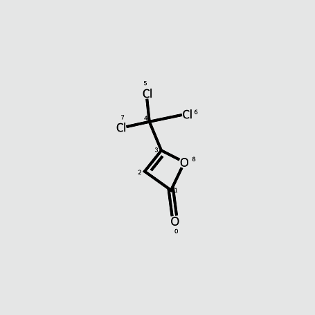 O=C1C=C(C(Cl)(Cl)Cl)O1